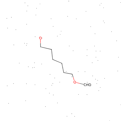 [O]CCCCCCOC=O